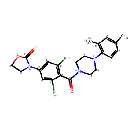 Cc1ccc(N2CCN(C(=O)c3c(F)cc(N4CCOC4=O)cc3F)CC2)c(C)c1